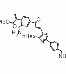 C=C(C(=O)OC)c1ccc(C(=O)C=Cc2sc(-c3ccc(CN)cc3)nc2CCCCCC)cc1CN